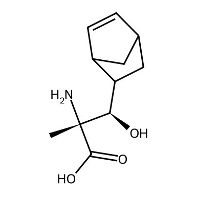 C[C@](N)(C(=O)O)[C@H](O)C1CC2C=CC1C2